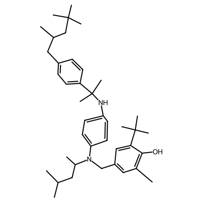 Cc1cc(CN(c2ccc(NC(C)(C)c3ccc(CC(C)CC(C)(C)C)cc3)cc2)C(C)CC(C)C)cc(C(C)(C)C)c1O